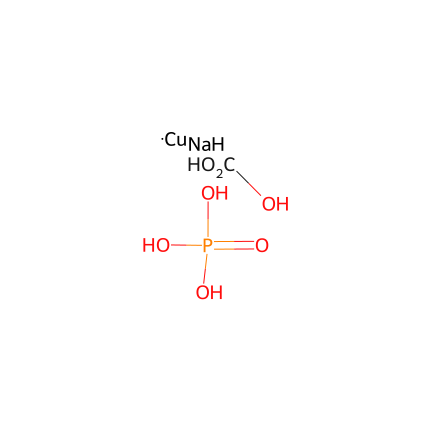 O=C(O)O.O=P(O)(O)O.[Cu].[NaH]